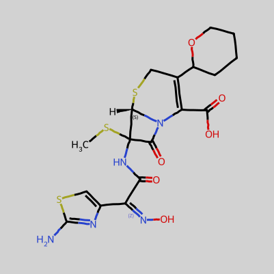 CSC1(NC(=O)/C(=N\O)c2csc(N)n2)C(=O)N2C(C(=O)O)=C(C3CCCCO3)CS[C@H]21